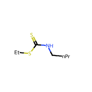 CCCCNC(=S)SCC